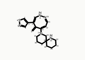 C=C1/C(c2cnsc2)=C\N/N=C\C=C/1N1CCCC2(CCCCN2)C1